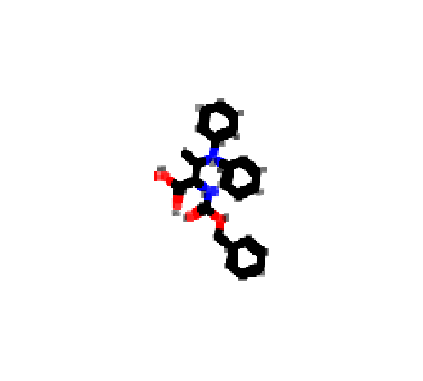 CC(C(NC(=O)OCc1ccccc1)C(=O)O)N(c1ccccc1)c1ccccc1